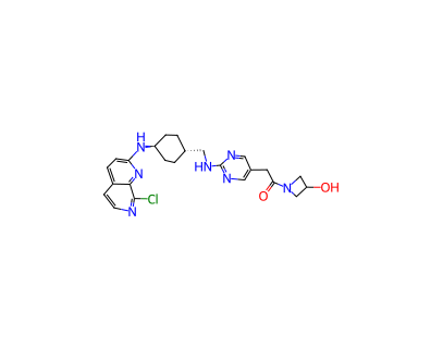 O=C(Cc1cnc(NC[C@H]2CC[C@H](Nc3ccc4ccnc(Cl)c4n3)CC2)nc1)N1CC(O)C1